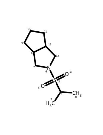 CC(C)S(=O)(=O)N1CC2C[CH]CC2C1